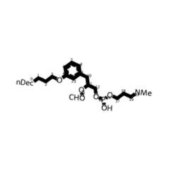 CCCCCCCCCCCCCOc1cccc(CC(COP(O)OCCCNC)OC=O)c1